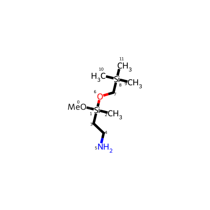 CO[Si](C)(CCN)OC[Si](C)(C)C